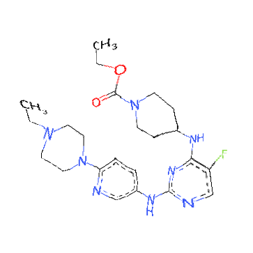 CCOC(=O)N1CCC(Nc2nc(Nc3ccc(N4CCN(CC)CC4)nc3)ncc2F)CC1